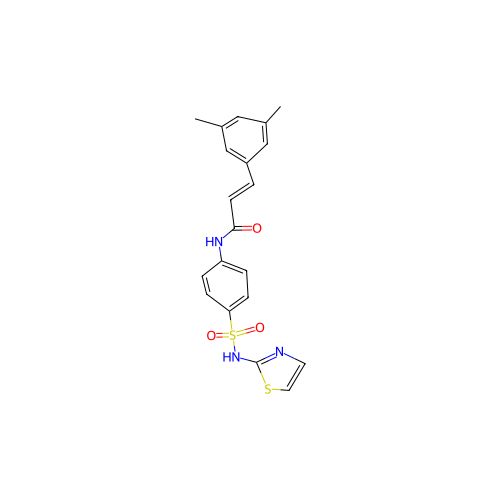 Cc1cc(C)cc(/C=C/C(=O)Nc2ccc(S(=O)(=O)Nc3nccs3)cc2)c1